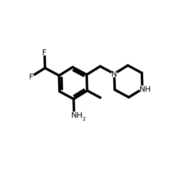 Cc1c(N)cc(C(F)F)cc1CN1CCNCC1